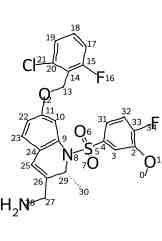 COc1cc(S(=O)(=O)N2c3cc(OCc4c(F)cccc4Cl)ccc3C=C(CN)[C@H]2C)ccc1F